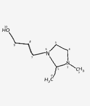 CC1N(C)CCN1CCCO